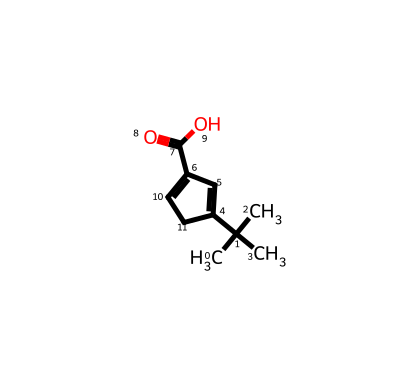 CC(C)(C)C1=CC(C(=O)O)=CC1